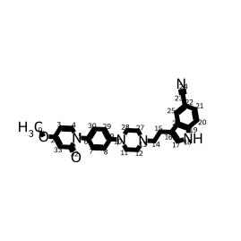 COc1ccn(-c2ccc(N3CCN(CCc4c[nH]c5ccc(C#N)cc45)CC3)cc2)c(=O)c1